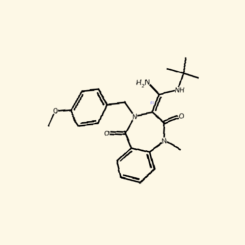 COc1ccc(CN2C(=O)c3ccccc3N(C)C(=O)/C2=C(/N)NC(C)(C)C)cc1